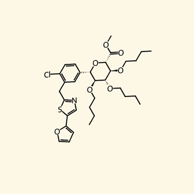 CCCCO[C@@H]1[C@@H](OCCCC)[C@H](c2ccc(Cl)c(Cc3ncc(-c4ccco4)s3)c2)O[C@H](C(=O)OC)[C@H]1OCCCC